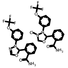 NC(=O)c1ccccc1C1OC=NN1c1cccc(OC(F)(F)F)c1.NC(=O)c1ccccc1C1OCN(Cl)N1c1cccc(OC(F)(F)F)c1